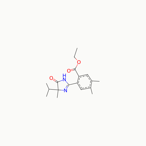 CCOC(=O)c1cc(C)c(C)cc1C1=NC(C)(C(C)C)C(=O)N1